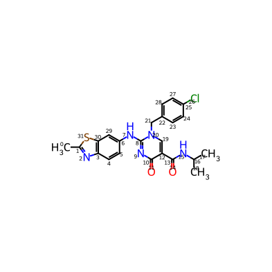 Cc1nc2ccc(Nc3nc(=O)c(C(=O)NC(C)C)cn3Cc3ccc(Cl)cc3)cc2s1